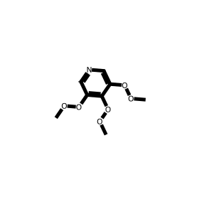 COOc1[c]ncc(OOC)c1OOC